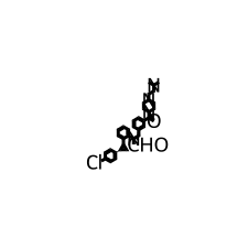 CN(C)CCN1CCN(C(=O)c2cccc(CN(C=O)c3ccccc3C3C[C@@H]3c3ccc(Cl)cc3)c2)CC1